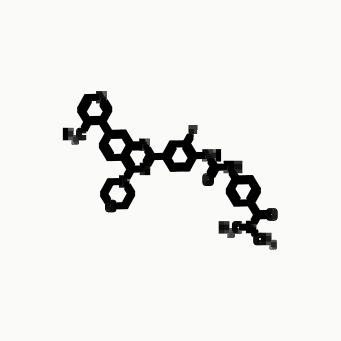 Cc1ccncc1-c1ccc2c(N3CCOCC3)nc(-c3ccc(NC(=O)Nc4ccc(C(=O)N(C)C)cc4)c(F)c3)nc2c1